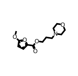 COc1ccc(C(=O)OCCCN2CCOCC2)o1